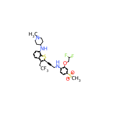 CN1CCC(Nc2cccc3c(CC(F)(F)F)c(C#CCNc4ccc(S(C)(=O)=O)cc4OCC(F)F)sc23)CC1